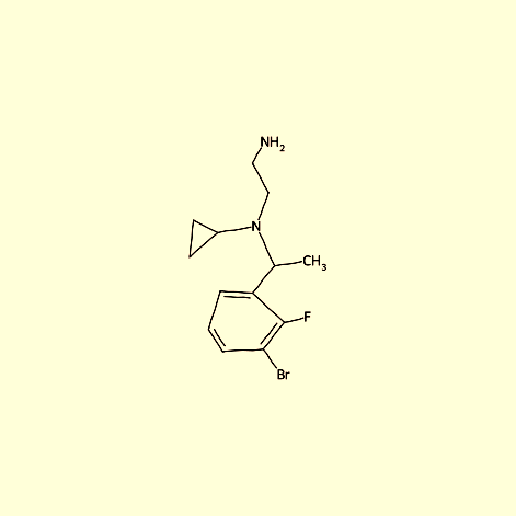 CC(c1cccc(Br)c1F)N(CCN)C1CC1